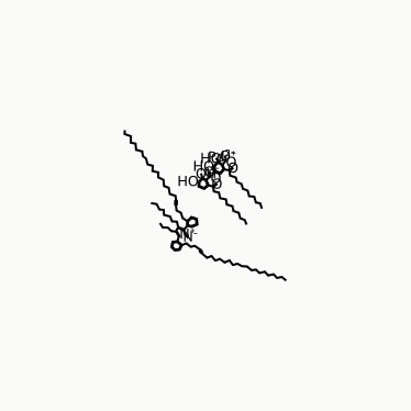 CCCCCCCCCCCC(=O)c1ccc(O)c(O)c1C(=O)[O-].CCCCCCCCCCCC(=O)c1ccc(O)c(O)c1C(=O)[O-].CCCCCCCCCCCCCCCCCCCC#CCCCc1ccccc1C1=C(CCCC)C(CCCCCCCC)=C(c2ccccc2CCCC#CCCCCCCCCCCCCCCCCCCC)[N+]1=[N-].[Pd+2]